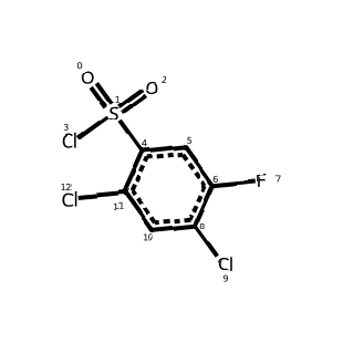 O=S(=O)(Cl)c1cc(F)c(Cl)cc1Cl